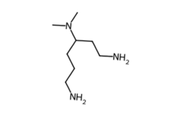 CN(C)C(CCN)CCCN